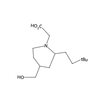 CC(C)(C)CCC1CC(CO)CCN1CC(=O)O